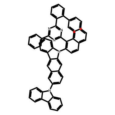 c1ccc(-c2nc(-c3ccccc3-c3ccccc3)nc(-c3c(-n4c5ccccc5c5cc6cc(-n7c8ccccc8c8ccccc87)ccc6cc54)ccc4ccccc34)n2)cc1